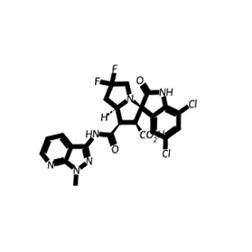 Cn1nc(NC(=O)[C@H]2[C@H]3CC(F)(F)CN3[C@]3(C(=O)Nc4c(Cl)cc(Cl)cc43)[C@H]2C(=O)O)c2cccnc21